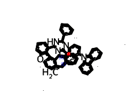 C=C/C=c1/sc2c(-n3c4ccccc4c4ccccc43)cccc2/c1=C/c1cccc2oc3cccc(C4=NC(c5ccccc5)=NC(c5ccccc5)N4)c3c12